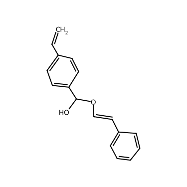 C=Cc1ccc(C(O)OC=Cc2ccccc2)cc1